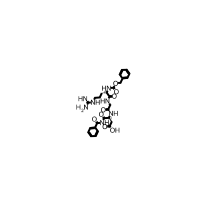 N=C(N)NCCC[C@H](NC(=O)OCc1ccccc1)C(=O)NCC(=O)N[C@@H](CC(=O)O)C(=O)NC(=O)c1ccccc1